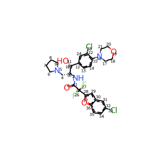 O=C(N[C@H](CN1CCCC1)[C@H](O)c1ccc(N2CCOCC2)c(Cl)c1)C(F)(F)c1cc2cc(Cl)ccc2o1